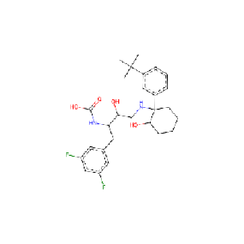 CC(C)(C)c1cccc(C2(NCC(O)C(Cc3cc(F)cc(F)c3)NC(=O)O)CCCCC2O)c1